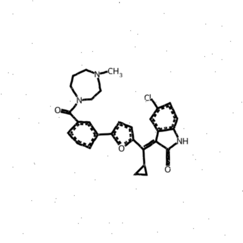 CN1CCCN(C(=O)c2cccc(-c3ccc(/C(=C4/C(=O)Nc5ccc(Cl)cc54)C4CC4)o3)c2)CC1